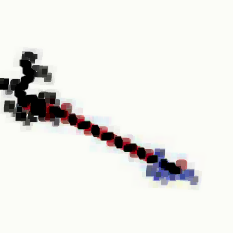 Cc1c(C)c2c(c(C)c1OC(=O)CCC(=O)OCCOCCOCCOCCOCCOCCOCCOCCN/C=C(\N)C[C@H](N)C(N)=O)CC[C@@](C)(CCC[C@H](C)CCC[C@H](C)CCCC(C)C)O2